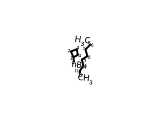 CCCCC1CCC1.CCCCCCCC